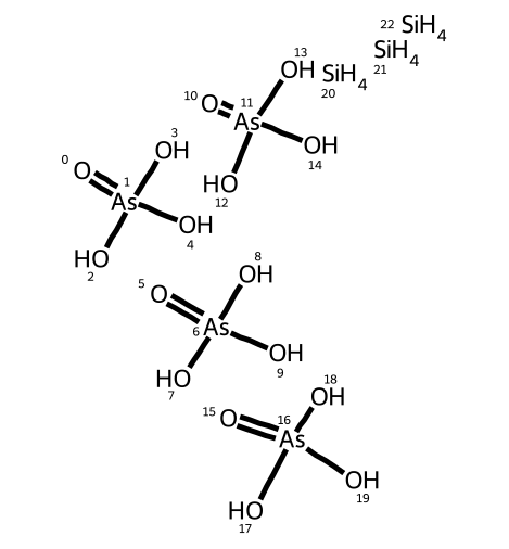 O=[As](O)(O)O.O=[As](O)(O)O.O=[As](O)(O)O.O=[As](O)(O)O.[SiH4].[SiH4].[SiH4]